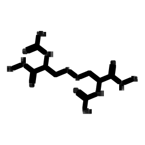 CCNC(=O)C(CSSCC(NC(=O)C(C)(C)C)C(=O)NCC)NC(=O)C(C)(C)C